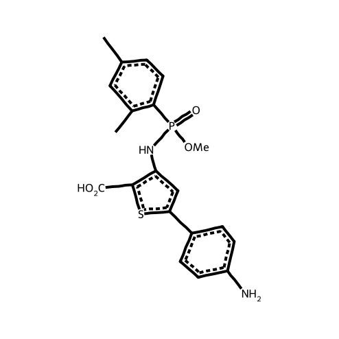 COP(=O)(Nc1cc(-c2ccc(N)cc2)sc1C(=O)O)c1ccc(C)cc1C